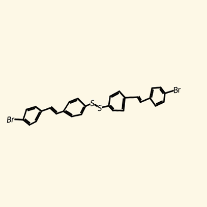 Brc1ccc(/C=C/c2ccc(SSc3ccc(/C=C/c4ccc(Br)cc4)cc3)cc2)cc1